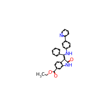 CCOC(=O)c1ccc2c(c1)NC(=O)/C2=C(\Nc1ccc(-c2ccccn2)cc1)c1ccccc1